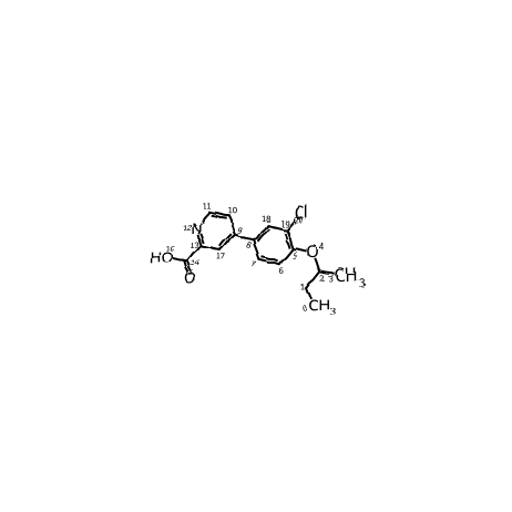 CCC(C)Oc1ccc(-c2ccnc(C(=O)O)c2)cc1Cl